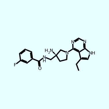 CCc1c[nH]c2ncnc(N3CC[C@](N)(CNC(=O)c4cccc(F)c4)C3)c12